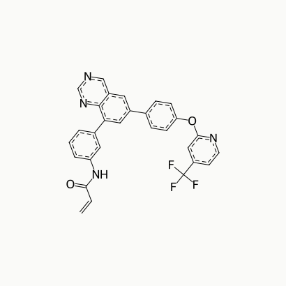 C=CC(=O)Nc1cccc(-c2cc(-c3ccc(Oc4cc(C(F)(F)F)ccn4)cc3)cc3cncnc23)c1